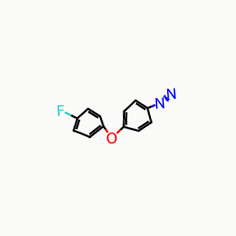 N#[N+]c1ccc(Oc2ccc(F)cc2)cc1